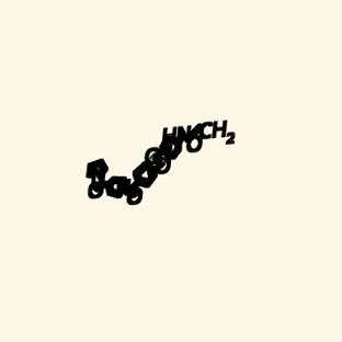 C=CC(=O)NC1CCN(S(=O)(=O)c2ccc(C(=O)N3CCC(C(=O)N4CCCC4)CC3)cc2)CC1